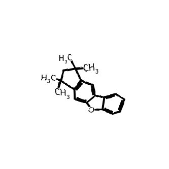 CC1(C)CC(C)(C)c2cc3c(cc21)oc1ccccc13